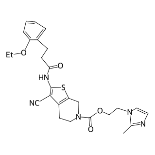 CCOc1ccccc1CCC(=O)Nc1sc2c(c1C#N)CCN(C(=O)OCCn1ccnc1C)C2